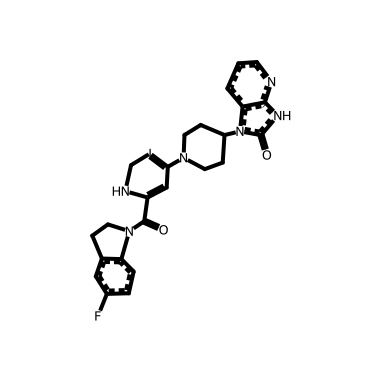 O=C(C1=CC(N2CCC(n3c(=O)[nH]c4ncccc43)CC2)=ICN1)N1CCc2cc(F)ccc21